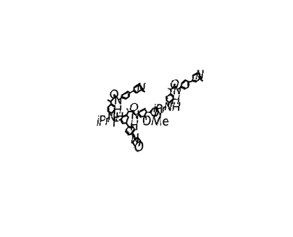 COc1cc(NC(=O)[C@H](C)c2cc(F)cc(-c3ccc(N4CCOCC4)cc3)c2)ccc1-c1ccnc(C)c1.Cc1cc(-c2ccc(NC(=O)C(C)c3ccc(NC(C)C)cc3)cc2)ccn1.Cc1cc(-c2ccc(NC(=O)C(C)c3ccc(NC(C)C)cc3)cc2)ccn1